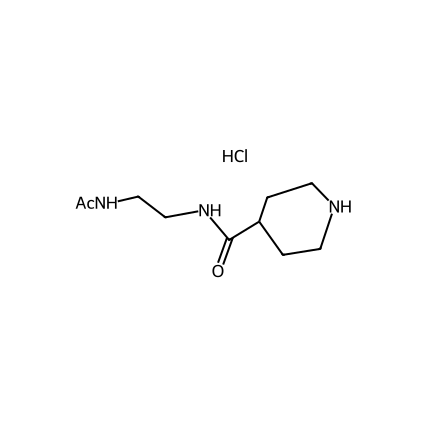 CC(=O)NCCNC(=O)C1CCNCC1.Cl